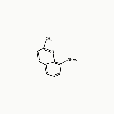 CC(=O)Nc1cccc2ccc(C)nc12